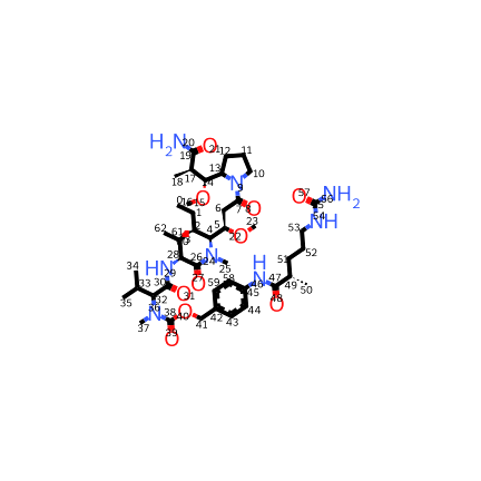 CC[C@H](C)[C@@H]([C@@H](CC(=O)N1CCCC1[C@H](OC)[C@@H](C)C(N)=O)OC)N(C)C(=O)[C@@H](NC(=O)C(C(C)C)N(C)C(=O)OCc1ccc(NC(=O)[C@@H](C)CCCNC(N)=O)cc1)C(C)C